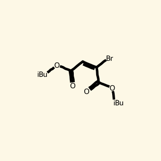 CCC(C)OC(=O)/C=C(/Br)C(=O)OC(C)CC